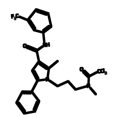 Cc1c(C(=O)Nc2cccc(C(F)(F)F)c2)cc(-c2ccccc2)n1CCCN(C)C(=O)C(Cl)(Cl)Cl